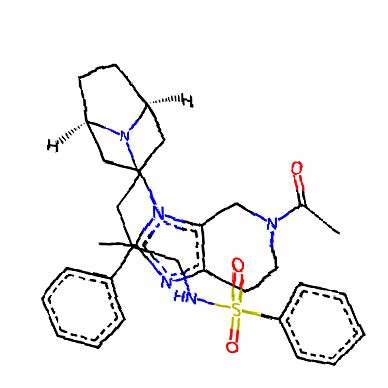 CC(=O)N1CCc2nc(C)n(C3C[C@H]4CC[C@@H](C3)N4CCC(CNS(=O)(=O)c3ccccc3)c3ccccc3)c2C1